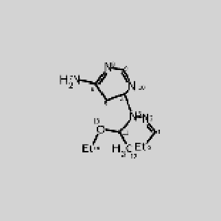 CC/C=N\N(C1CC(N)=NC=N1)C(C)OCC